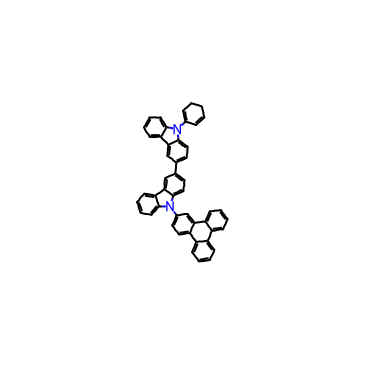 C1=CC(n2c3ccccc3c3cc(-c4ccc5c(c4)c4ccccc4n5-c4ccc5c6ccccc6c6ccccc6c5c4)ccc32)=CCC1